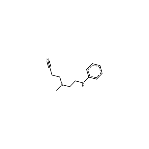 CN(CCC#N)CCNc1ccccc1